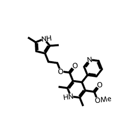 COC(=O)C1=C(C)NC(C)=C(C(=O)OCCc2cc(C)[nH]c2C)C1c1cccnc1